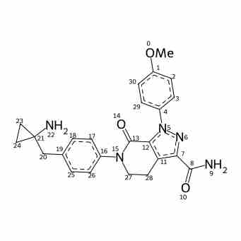 COc1ccc(-n2nc(C(N)=O)c3c2C(=O)N(c2ccc(CC4(N)CC4)cc2)CC3)cc1